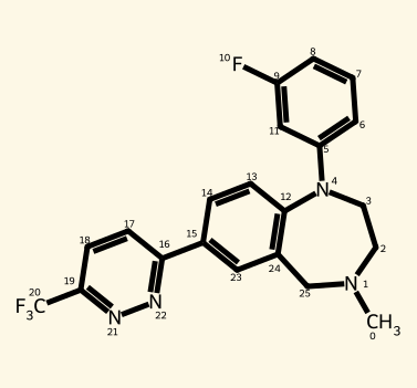 CN1CCN(c2cccc(F)c2)c2ccc(-c3ccc(C(F)(F)F)nn3)cc2C1